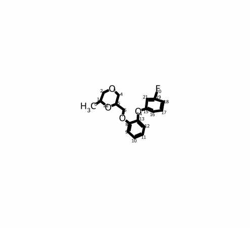 CC1COCC(COc2ccccc2Oc2cccc(F)c2)O1